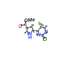 COC(=O)c1c[nH]c(-c2nc(Cl)ncc2F)c1